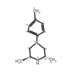 Cc1ccc(N2C[C@H](C)N[C@@H](C)C2)cc1